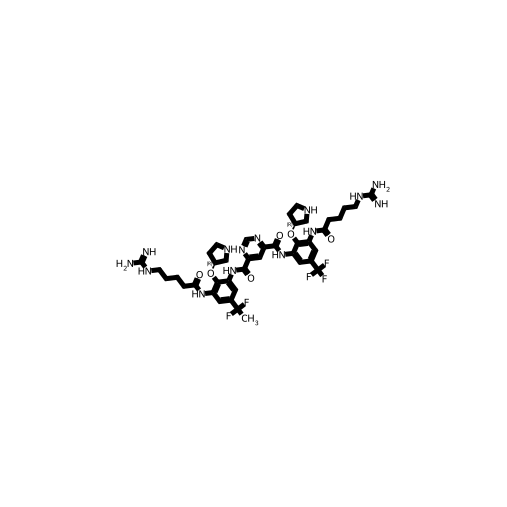 CC(F)(F)c1cc(NC(=O)CCCCNC(=N)N)c(O[C@@H]2CCNC2)c(NC(=O)c2cc(C(=O)Nc3cc(C(F)(F)F)cc(NC(=O)CCCCNC(=N)N)c3O[C@@H]3CCNC3)ncn2)c1